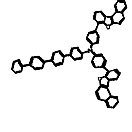 c1ccc(-c2ccc(-c3ccc(-c4ccc(N(c5ccc(-c6cccc7c6oc6ccc8ccccc8c67)cc5)c5ccc(-c6cccc7c6oc6ccc8ccccc8c67)cc5)cc4)cc3)cc2)cc1